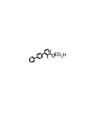 Cc1c(-c2ccc(-c3ccccc3)cc2)ccnc1OC(=O)O